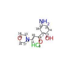 Cl.Nc1ccc(O)c(C(=O)C=CN2CCOCC2)c1